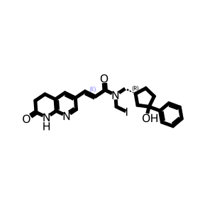 O=C1CCc2cc(/C=C/C(=O)N(CI)C[C@@H]3CCC(O)(c4ccccc4)C3)cnc2N1